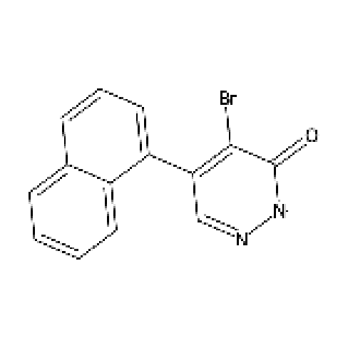 O=C1[N]N=CC(c2cccc3ccccc23)=C1Br